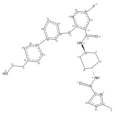 Cc1nc(C(=O)N[C@H]2CC[C@H](NC(=O)c3cc(F)cnc3Oc3cccc(-c4ccc(CCO)cc4)c3)CC2)cs1